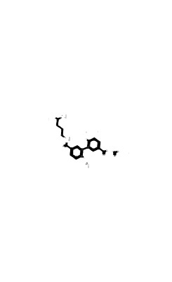 CCCCCCOc1ccc(C(=O)NCCCC(C)N)cc1-c1cc(C(=O)OC(=O)C(F)(F)F)ccc1OCCCCCC